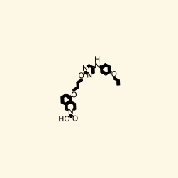 C=CCOc1ccc(Nc2cnc(OCCCCOc3cccc4c3CCN(C(=O)O)C4)nc2)cc1